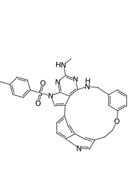 CNc1nc2c3c(cn(S(=O)(=O)c4ccc(C)cc4)c3n1)-c1ccc3ncc(cc3c1)CCOc1cccc(c1)CN2